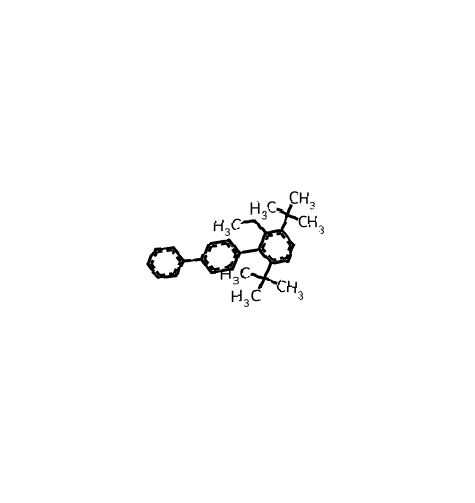 CCc1c(C(C)(C)C)ccc(C(C)(C)C)c1-c1ccc(-c2ccccc2)cc1